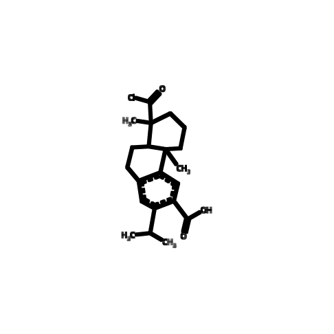 CC(C)c1cc2c(cc1C(=O)O)C1(C)CCCC(C)(C(=O)Cl)C1CC2